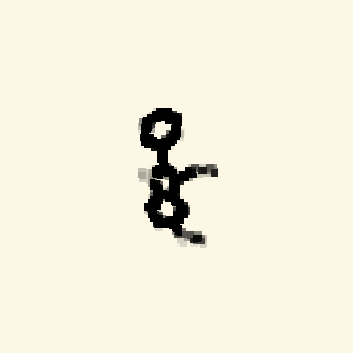 COc1ccc2[nH]c(-c3ccccc3)c(C=O)c2c1